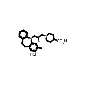 Cc1ccc2c(c1)N(C[C@H](C)CN1CCC(C(=O)O)CC1)c1ccccc1CC2.Cl